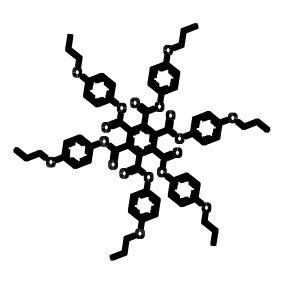 CCCOc1ccc(OC(=O)c2c(C(=O)Oc3ccc(OCCC)cc3)c(C(=O)Oc3ccc(OCCC)cc3)c(C(=O)Oc3ccc(OCCC)cc3)c(C(=O)Oc3ccc(OCCC)cc3)c2C(=O)Oc2ccc(OCCC)cc2)cc1